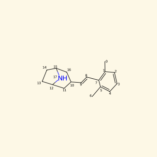 Cc1cccc(C)c1/C=C/C1CC2CCC(C1)N2